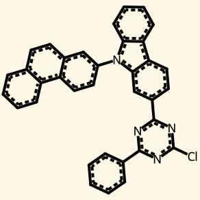 Clc1nc(-c2ccccc2)nc(-c2ccc3c4ccccc4n(-c4ccc5c(ccc6ccccc65)c4)c3c2)n1